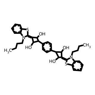 CCCCN1C(=C2C(O)C(c3ccc(C4C(O)C(=C5Sc6ccccc6N5CCCC)C4O)cc3)C2O)Sc2ccccc21